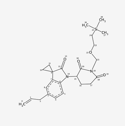 C=CCc1ccc2c(c1)C1(CC1)C(=O)N2C1CCC(=O)N(COCC[Si](C)(C)C)C1=O